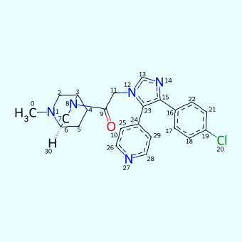 CN1CC2CC[C@@H]1CN2C(=O)Cn1cnc(-c2ccc(Cl)cc2)c1-c1ccncc1